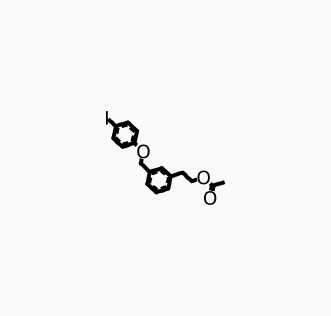 CC(=O)OCCc1cccc(COc2ccc(I)cc2)c1